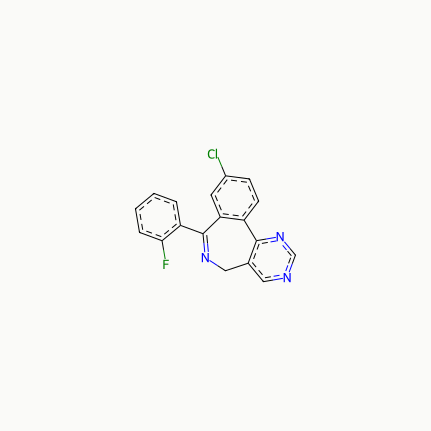 Fc1ccccc1C1=NCc2cncnc2-c2ccc(Cl)cc21